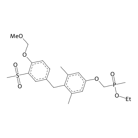 CCOP(C)(=O)COc1cc(C)c(Cc2ccc(OCOC)c(S(C)(=O)=O)c2)c(C)c1